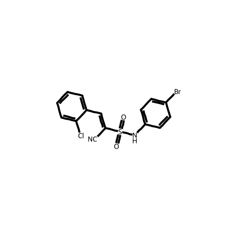 N#C/C(=C\c1ccccc1Cl)S(=O)(=O)Nc1ccc(Br)cc1